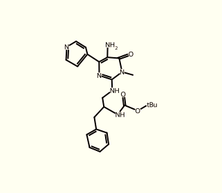 Cn1c(NCC(Cc2ccccc2)NC(=O)OC(C)(C)C)nc(-c2ccncc2)c(N)c1=O